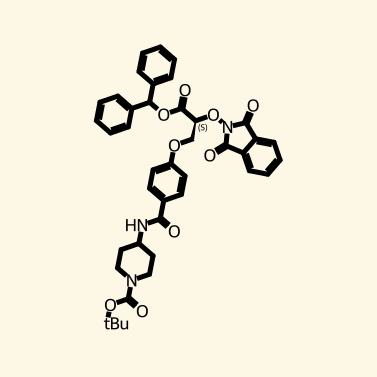 CC(C)(C)OC(=O)N1CCC(NC(=O)c2ccc(OC[C@H](ON3C(=O)c4ccccc4C3=O)C(=O)OC(c3ccccc3)c3ccccc3)cc2)CC1